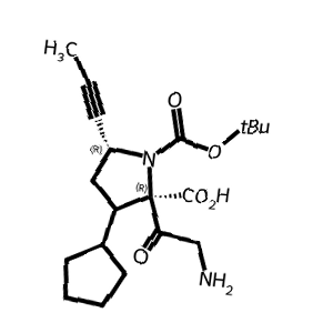 CC#C[C@H]1CC(C2CCCC2)[C@](C(=O)O)(C(=O)CN)N1C(=O)OC(C)(C)C